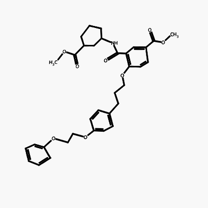 COC(=O)c1ccc(OCCCc2ccc(OCCOc3ccccc3)cc2)c(C(=O)NC2CCCC(C(=O)OC)C2)c1